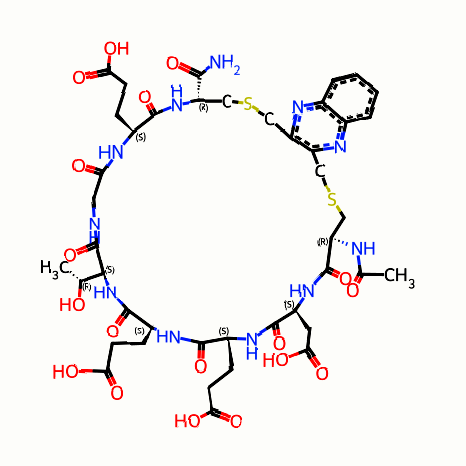 CC(=O)N[C@H]1CSCc2nc3ccccc3nc2CSC[C@@H](C(N)=O)NC(=O)[C@H](CCC(=O)O)NC(=O)CNC(=O)[C@H]([C@@H](C)O)NC(=O)[C@H](CCC(=O)O)NC(=O)[C@H](CCC(=O)O)NC(=O)[C@H](CC(=O)O)NC1=O